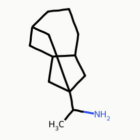 CC(N)C12CC3CCCC(C1)C(C3)C2